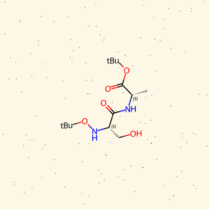 C[C@H](NC(=O)[C@H](CO)NOC(C)(C)C)C(=O)OC(C)(C)C